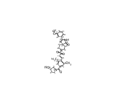 Cc1cc(C(=O)N2CC[C@H](O)C2)cc(C)c1/C=C/S(=O)(=O)N1CCC2(CC1)N=C(c1cccc(OC(F)(F)F)c1)NC2=O